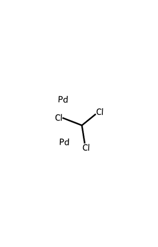 ClC(Cl)Cl.[Pd].[Pd]